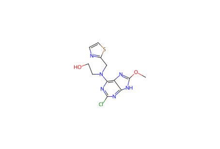 COc1nc2c(N(CCO)Cc3nccs3)nc(Cl)nc2[nH]1